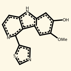 COc1cc2c(cc1O)[nH]c1ccnc(-c3cncs3)c12